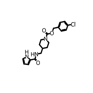 O=C(NCC1CCN(C(=O)OCc2ccc(Cl)cc2)CC1)c1ccc[nH]1